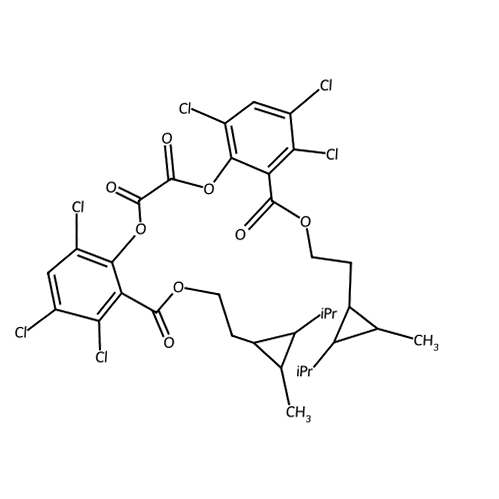 CC(C)C1C(C)C1CCOC(=O)c1c(Cl)c(Cl)cc(Cl)c1OC(=O)C(=O)Oc1c(Cl)cc(Cl)c(Cl)c1C(=O)OCCC1C(C)C1C(C)C